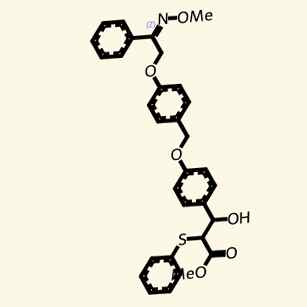 CO/N=C(\COc1ccc(COc2ccc(C(O)C(Sc3ccccc3)C(=O)OC)cc2)cc1)c1ccccc1